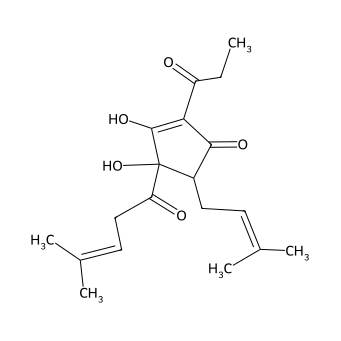 CCC(=O)C1=C(O)C(O)(C(=O)CC=C(C)C)C(CC=C(C)C)C1=O